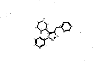 c1ccc(Cc2nnn(-c3ccccc3)c2C2COCCN2)cc1